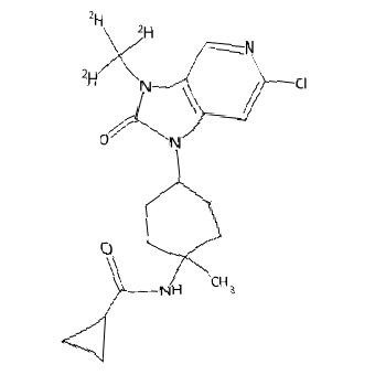 [2H]C([2H])([2H])n1c(=O)n(C2CCC(C)(NC(=O)C3CC3)CC2)c2cc(Cl)ncc21